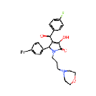 CC(C)c1ccc(C2C(C(=O)c3ccc(F)cc3)=C(O)C(=O)N2CCCN2CCOCC2)cc1